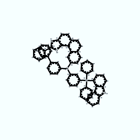 c1ccc(-c2cccc(N(c3cccc([Si](c4ccccc4)(c4ccccc4)c4cccc5oc6ccccc6c45)c3)c3ccc4ccc5ccc6nc(-c7ccccc7)oc6c5c4c3)c2)cc1